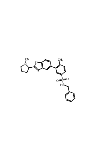 Cc1ccc(S(=O)(=O)NCc2ccccc2)cc1-c1ccc2oc(C3CCCN3C#N)nc2c1